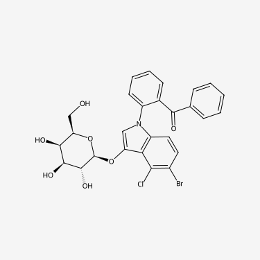 O=C(c1ccccc1)c1ccccc1-n1cc(O[C@@H]2O[C@H](CO)[C@H](O)[C@H](O)[C@H]2O)c2c(Cl)c(Br)ccc21